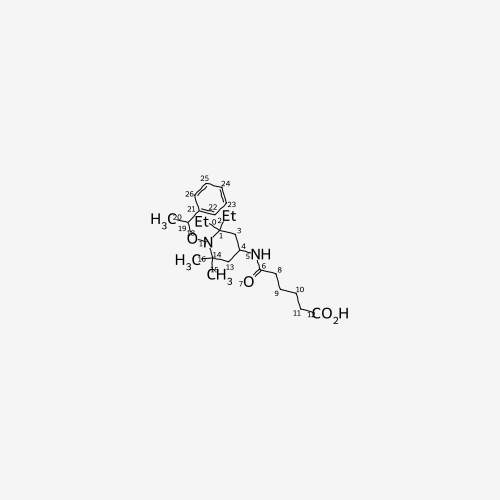 CCC1(CC)CC(NC(=O)CCCCC(=O)O)CC(C)(C)N1OC(C)c1ccccc1